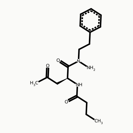 CCCC(=O)N[C@@H](CC(C)=O)C(=O)N(N)CCc1ccccc1